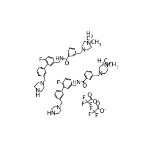 C[N+]1(C)CCN(Cc2cccc(C(=O)NCc3ccc(F)c(-c4cccc(CN5CCNCC5)c4)c3)c2)CC1.C[N+]1(C)CCN(Cc2cccc(C(=O)NCc3ccc(F)c(-c4cccc(CN5CCNCC5)c4)c3)c2)CC1.O=C([O-])C(F)(F)F.O=C([O-])C(F)(F)F